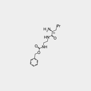 CC(C)C[C@H](N)C(=O)NCCNC(=O)OCc1ccccc1